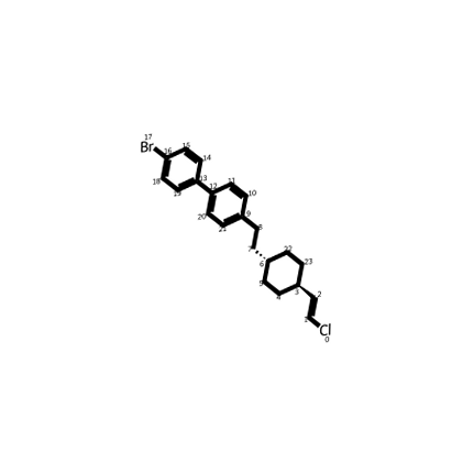 Cl/C=C/[C@H]1CC[C@H](CCc2ccc(-c3ccc(Br)cc3)cc2)CC1